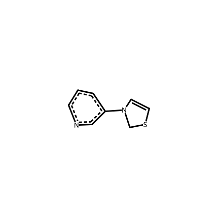 C1=CN(c2cccnc2)CS1